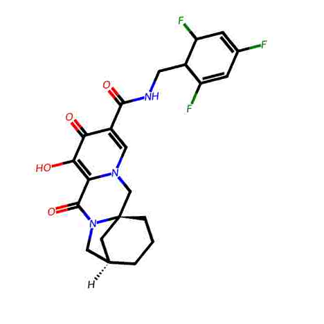 O=C(NCC1C(F)=CC(F)=CC1F)c1cn2c(c(O)c1=O)C(=O)N1C[C@@H]3CCC[C@]1(C3)C2